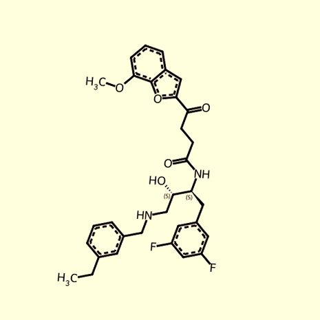 CCc1cccc(CNC[C@H](O)[C@H](Cc2cc(F)cc(F)c2)NC(=O)CCC(=O)c2cc3cccc(OC)c3o2)c1